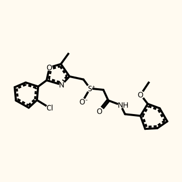 COc1ccccc1CNC(=O)C[S+]([O-])Cc1nc(-c2ccccc2Cl)oc1C